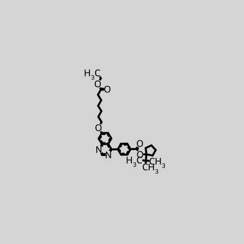 CCOC(=O)CCCCCCOc1ccc2c(-c3ccc(C(=O)OC4(C(C)(C)C)CCCC4)cc3)ncnc2c1